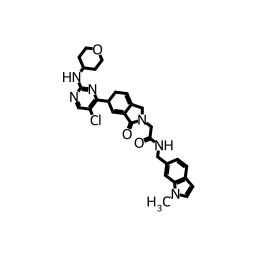 Cn1ccc2ccc(CNC(=O)CN3CC4=CCC(c5nc(NC6CCOCC6)ncc5Cl)C=C4C3=O)cc21